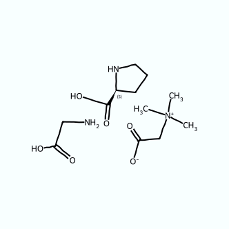 C[N+](C)(C)CC(=O)[O-].NCC(=O)O.O=C(O)[C@@H]1CCCN1